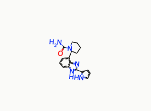 NC(=O)N1CCCCC1c1cccc2[nH]c(-c3ccc[nH]3)nc12